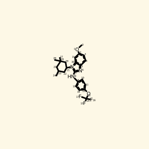 COc1ccc2nc(Nc3ccc(OC(F)(F)F)cc3)n(C3CC(C)CC(C)(C)C3)c2c1